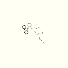 CC(C)(C)OC(=O)CCC[C@H](OC(=O)N[C@@H](CCCN)C(=O)OC(c1ccccc1)(c1ccccc1Cl)C1CCCCC1)C(=O)OC(C)(C)C